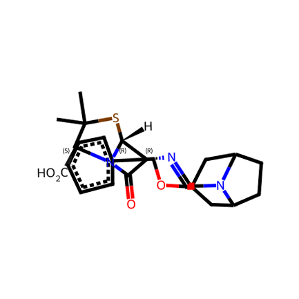 CC1(C)S[C@@H]2[C@H](N=CN3C4CCC3CC(OCc3ccccc3)C4)C(=O)N2[C@H]1C(=O)O